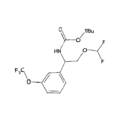 CC(C)(C)OC(=O)NC(COC(F)F)c1cccc(OC(F)(F)F)c1